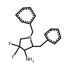 NC1C(Cc2ccccc2)N(Cc2ccccc2)CC1(F)F